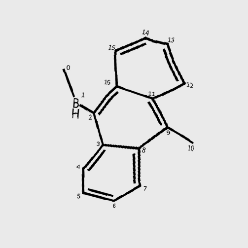 CBc1c2ccccc2c(C)c2ccccc12